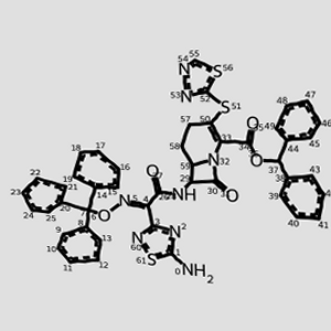 Nc1nc(/C(=N\OC(c2ccccc2)(c2ccccc2)c2ccccc2)C(=O)NC2C(=O)N3C(C(=O)OC(c4ccccc4)c4ccccc4)=C(Sc4nncs4)CCC23)ns1